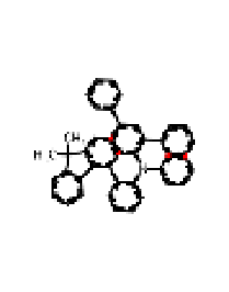 CC1(C)c2ccccc2-c2c(-c3ccccc3N(c3ccccc3)c3ccc(-c4ccccc4)cc3-c3ccccc3)cccc21